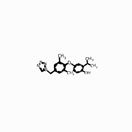 Cc1cc(Cn2cnnn2)cc(C)c1Oc1ccc(O)c(C(C)C)c1